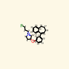 FCCCN1CCC(Oc2cccc(C3=CCCCc4ccccc43)c2)C1